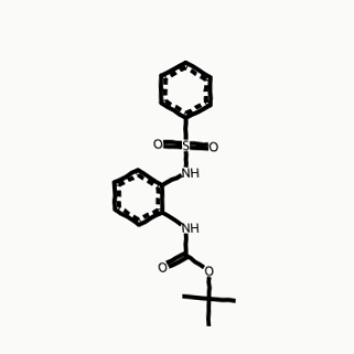 CC(C)(C)OC(=O)Nc1ccccc1NS(=O)(=O)c1ccccc1